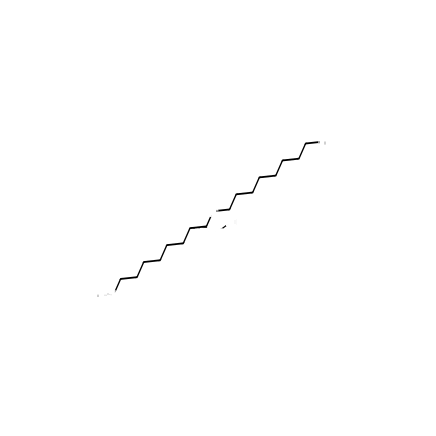 CCCCCCCCCCCCCCCCCCOCCCCCCCCCCCCCCCCCC.O=C(O)O